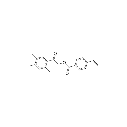 C=Cc1ccc(C(=O)OCC(=O)c2cc(C)c(C)cc2C)cc1